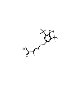 C/C(=C\SCCc1cc(C(C)(C)C)c(O)c(C(C)(C)C)c1)C(=O)O